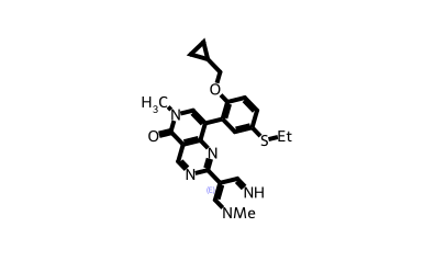 CCSc1ccc(OCC2CC2)c(-c2cn(C)c(=O)c3cnc(/C(C=N)=C/NC)nc23)c1